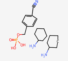 N#Cc1ccc(COP(=O)(O)O)cc1.NC1CCCCC1.NC1CCCCC1